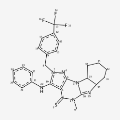 CN1C(=S)c2c(nn(Cc3ccc(C(F)(F)F)cc3)c2Nc2ccccc2)N2C1=NC1CCCCC12